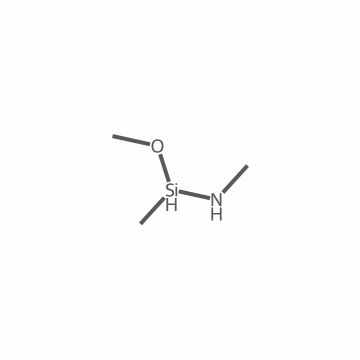 CN[SiH](C)OC